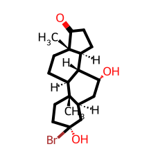 C[C@]12CC[C@](O)(Br)C[C@@H]1C[C@@H](O)[C@@H]1[C@@H]2CC[C@]2(C)C(=O)CC[C@@H]12